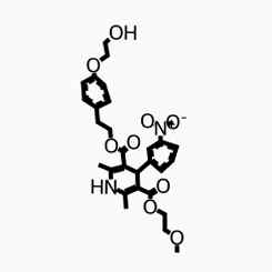 COCCOC(=O)C1=C(C)NC(C)=C(C(=O)OCCc2ccc(OCCO)cc2)C1c1cccc([N+](=O)[O-])c1